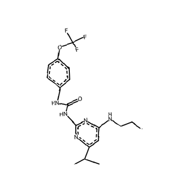 [CH2]CCNc1cc(C(C)C)nc(NC(=O)Nc2ccc(OC(F)(F)F)cc2)n1